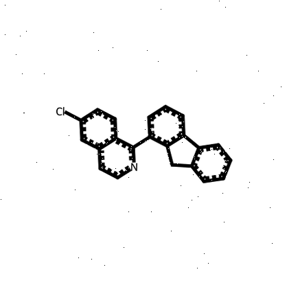 Clc1ccc2c(-c3cccc4c3Cc3ccccc3-4)nccc2c1